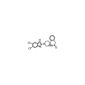 O=C1Cc2ccccc2C2(CCN(c3nc4cc(Cl)c(Cl)cc4[nH]3)CC2)N1